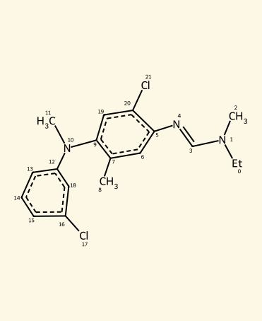 CCN(C)C=Nc1cc(C)c(N(C)c2cccc(Cl)c2)cc1Cl